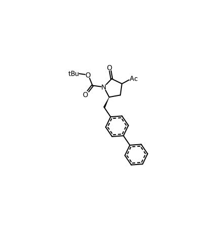 CC(=O)C1C[C@@H](Cc2ccc(-c3ccccc3)cc2)N(C(=O)OC(C)(C)C)C1=O